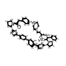 O=C(CCN1CCNCC1)N[C@H](c1ccccc1)C(O)N1CCC[C@H]1c1ncc(-c2ccc(-c3ccc(-c4cnc([C@@H]5CCCN5C(=O)Cc5ccccc5)s4)cc3)cc2)s1